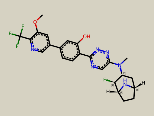 COc1cc(-c2ccc(-c3ncc(N(C)[C@H]4C[C@@H]5CC[C@@H](N5)[C@H]4F)nn3)c(O)c2)cnc1C(F)(F)F